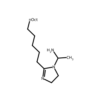 CCCCCCCCCCCCCC1=NCCN1C(C)N